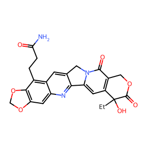 CCC1(O)C(=O)OCc2c1cc1n(c2=O)Cc2cc3c(CCC(N)=O)c4c(cc3nc2-1)OCO4